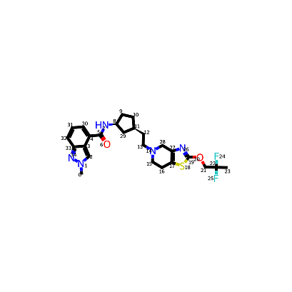 Cn1cc2c(C(=O)N[C@H]3CC[C@@H](CCN4CCc5sc(OCC(C)(F)F)nc5C4)C3)cccc2n1